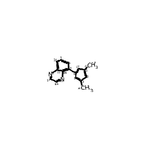 Cc1cc(C)cc(-c2cccc3nccnc23)c1